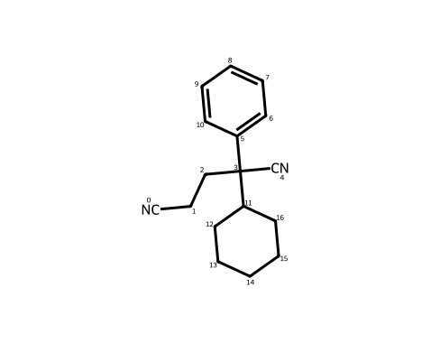 N#CCCC(C#N)(c1ccccc1)C1CCCCC1